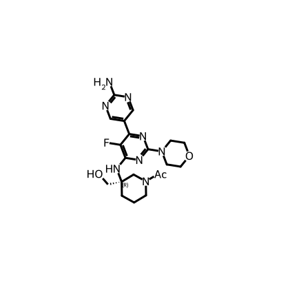 CC(=O)N1CCC[C@@](CO)(Nc2nc(N3CCOCC3)nc(-c3cnc(N)nc3)c2F)C1